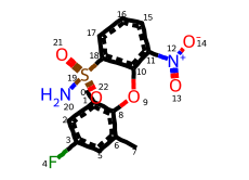 Cc1cc(F)cc(C)c1Oc1c([N+](=O)[O-])cccc1S(N)(=O)=O